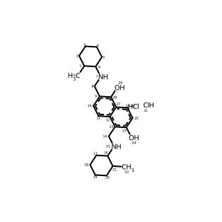 CC1CCCCC1NCc1ccc2c(CNC3CCCCC3C)c(O)ccc2c1O.Cl.Cl